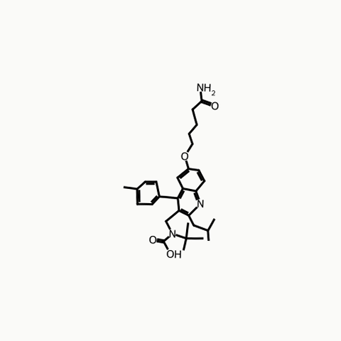 Cc1ccc(-c2c(CN(C(=O)O)C(C)(C)C)c(CC(C)C)nc3ccc(OCCCCC(N)=O)cc23)cc1